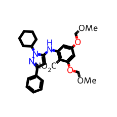 COCOc1cc(Nc2cc(-c3ccccc3)nn2C2CCCCC2)c(C(=O)O)c(OCOC)c1